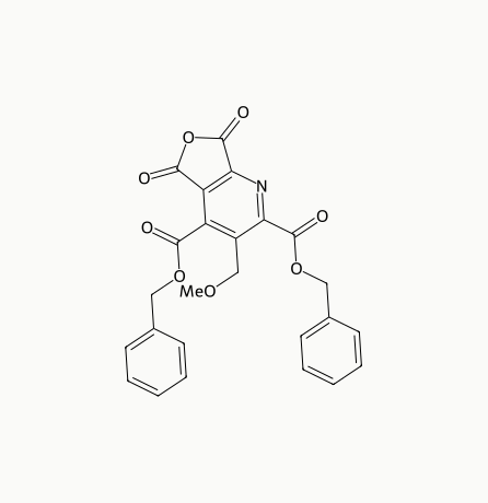 COCc1c(C(=O)OCc2ccccc2)nc2c(c1C(=O)OCc1ccccc1)C(=O)OC2=O